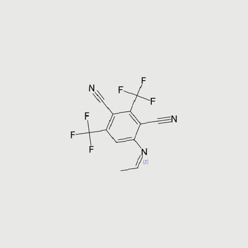 C/C=N\c1cc(C(F)(F)F)c(C#N)c(C(F)(F)F)c1C#N